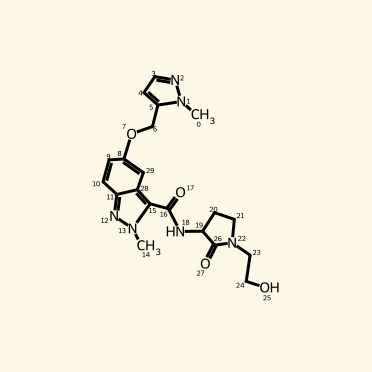 Cn1nccc1COc1ccc2nn(C)c(C(=O)NC3CCN(CCO)C3=O)c2c1